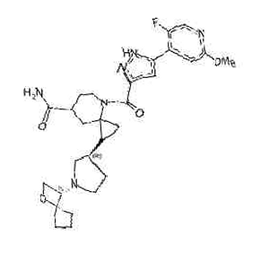 COc1cc(-c2cc(C(=O)N3CCC(C(N)=O)CC34CC4[C@H]3CCN([C@H]4COC45CCC5)C3)n[nH]2)c(F)cn1